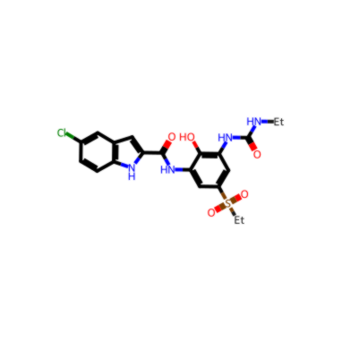 CCNC(=O)Nc1cc(S(=O)(=O)CC)cc(NC(=O)c2cc3cc(Cl)ccc3[nH]2)c1O